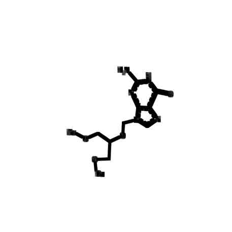 CCC(C)OCC(COC(C)CC)OCn1cnc2c(=O)[nH]c(N)nc21